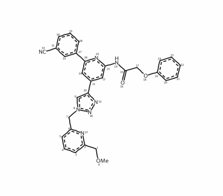 COCc1cccc(Cn2cc(-c3cc(NC(=O)COc4ccccc4)nc(-c4cccc(C#N)c4)c3)nn2)n1